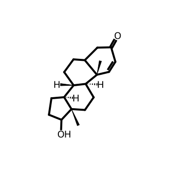 C[C@]12C=CC(=O)CC1CC[C@@H]1[C@@H]2CC[C@]2(C)C(O)CC[C@@H]12